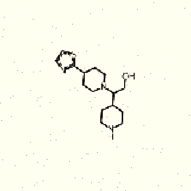 OCC(C1CCNCC1)N1CCC(c2nccs2)CC1